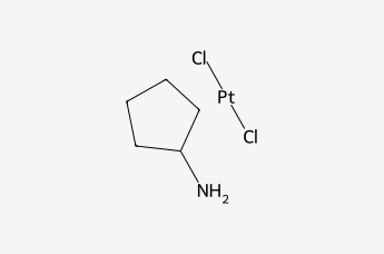 NC1CCCC1.[Cl][Pt][Cl]